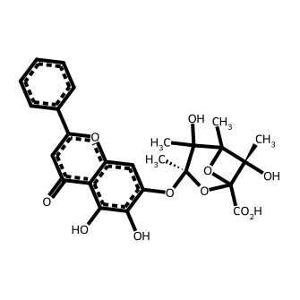 CC1(O)C2(C)OC(C(=O)O)(O[C@@]1(C)Oc1cc3oc(-c4ccccc4)cc(=O)c3c(O)c1O)[C@@]2(C)O